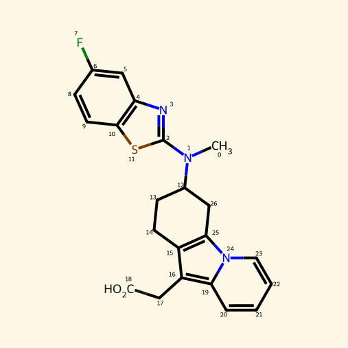 CN(c1nc2cc(F)ccc2s1)C1CCc2c(CC(=O)O)c3ccccn3c2C1